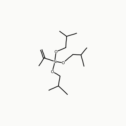 C=C(C)[Si](OCC(C)C)(OCC(C)C)OCC(C)C